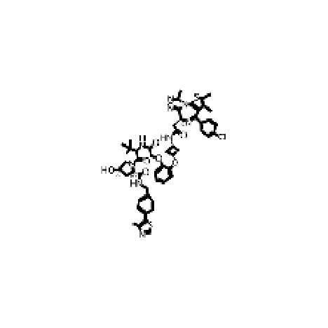 Cc1ncsc1-c1ccc(CNC(=O)[C@@H]2C[C@@H](O)CN2C(=O)C(NC(=O)COc2ccccc2O[C@H]2C[C@@H](NC(=O)C[C@@H]3N=C(c4ccc(Cl)cc4)c4c(sc(C)c4C)-n4c(C)nnc43)C2)C(C)(C)C)cc1